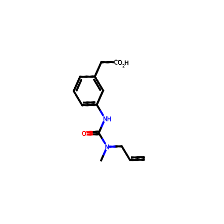 C=CCN(C)C(=O)Nc1cccc(CC(=O)O)c1